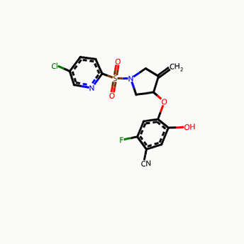 C=C1CN(S(=O)(=O)c2ccc(Cl)cn2)CC1Oc1cc(F)c(C#N)cc1O